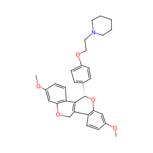 COc1ccc2c(c1)O[C@@H](c1ccc(OCCN3CCCCC3)cc1)C1=C2COc2cc(OC)ccc21